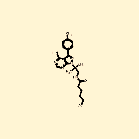 CC(=O)CCCCC(=O)NCC(C)(C)n1nc(-c2ccc(C)cc2)c2c(N)ncnc21